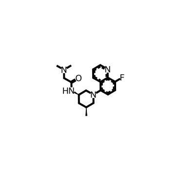 C[C@H]1C[C@@H](NC(=O)CN(C)C)CN(c2ccc(F)c3ncccc23)C1